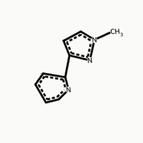 Cn1ccc(-c2[c]cccn2)n1